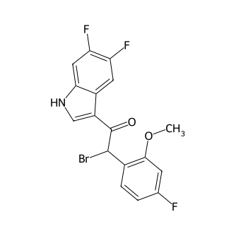 COc1cc(F)ccc1C(Br)C(=O)c1c[nH]c2cc(F)c(F)cc12